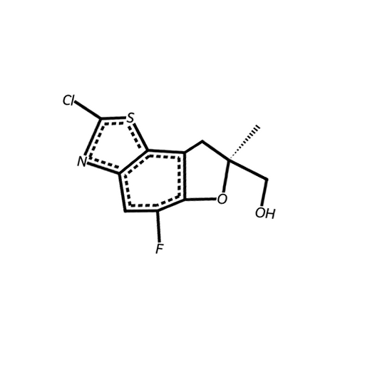 C[C@@]1(CO)Cc2c(c(F)cc3nc(Cl)sc23)O1